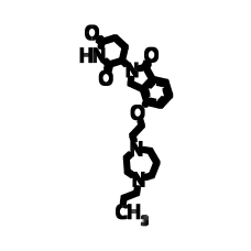 CCCN1CCCN(CCOc2cccc3c2CN(C2CCC(=O)NC2=O)C3=O)CC1